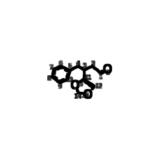 O=CCC(Cc1ccccc1)C1=COCO1